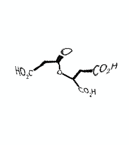 O=C(O)CC(=O)OC(CC(=O)O)C(=O)O